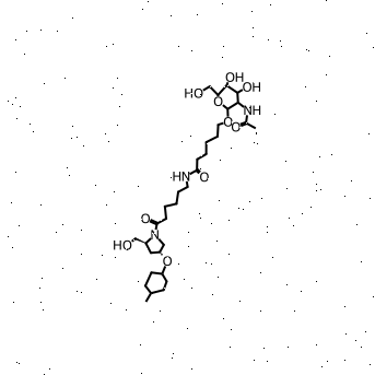 CC(=O)NC1C(OCCCCCC(=O)NCCCCCC(=O)N2C[C@H](OC3CCC(C)CC3)C[C@H]2CO)OC(CO)C(O)C1O